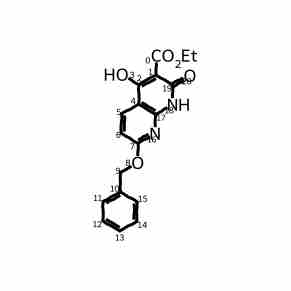 CCOC(=O)c1c(O)c2ccc(OCc3ccccc3)nc2[nH]c1=O